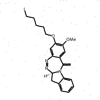 C=C1c2cc(OC)c(OCCCCCI)cc2N=N[C@@H]2Cc3ccccc3N12